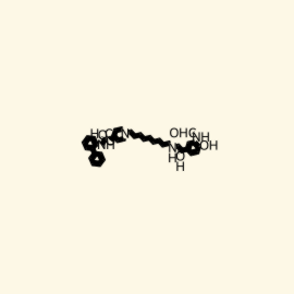 CC1(OC(=O)Nc2ccccc2-c2ccccc2)CCN(CCCCCCCCCNC[C@@H](O)c2ccc(O)c(NC=O)c2)CC1